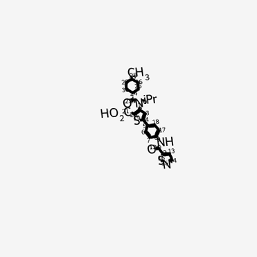 CC(C)N(c1cc(-c2ccc(NC(=O)c3ccns3)cc2)sc1C(=O)O)C(=O)[C@H]1CC[C@H](C)CC1